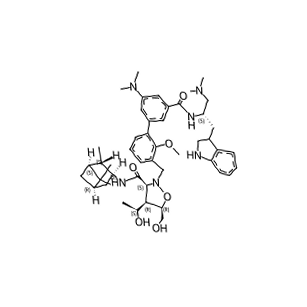 COc1c(CN2O[C@@H](CO)[C@@H]([C@H](C)O)[C@H]2C(=O)N[C@H]2C[C@H]3C[C@@H]([C@@H]2C)C3(C)C)cccc1-c1cc(C(=O)N[C@@H](CC2CNc3ccccc32)CN(C)C)cc(N(C)C)c1